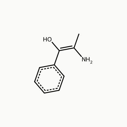 CC(N)=C(O)c1ccccc1